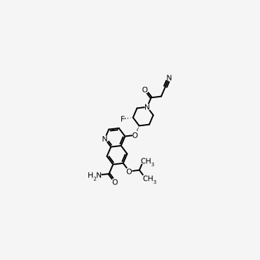 CC(C)Oc1cc2c(O[C@H]3CCN(C(=O)CC#N)C[C@H]3F)ccnc2cc1C(N)=O